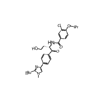 CC(C)Oc1ccc(C(=O)N[C@@H](CCO)C(=O)c2ccc(-c3cn(C)c(C(C)(C)C)n3)cc2)cc1Cl